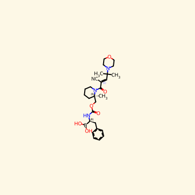 CC(C)(/C=C(\C#N)C(=O)N1CCCC[C@]1(C)COC(=O)N[C@@H](Cc1ccccc1)B(O)O)N1CCOCC1